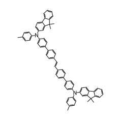 Cc1ccc(N(c2ccc(-c3ccc(/C=C/c4ccc(-c5ccc(N(c6ccc(C)cc6)c6ccc7c(c6)C(C)(C)c6ccccc6-7)cc5)cc4)cc3)cc2)c2ccc3c(c2)C(C)(C)c2ccccc2-3)cc1